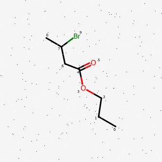 CCCOC(=O)CC(C)Br